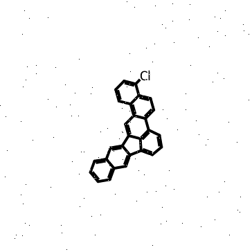 Clc1cccc2c1ccc1c3cccc4c3c(cc21)-c1cc2ccccc2cc1-4